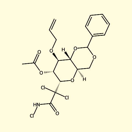 C=CCO[C@@H]1[C@@H](OC(C)=O)[C@@H](C(Cl)(Cl)C(=O)NCl)O[C@@H]2COC(c3ccccc3)O[C@@H]12